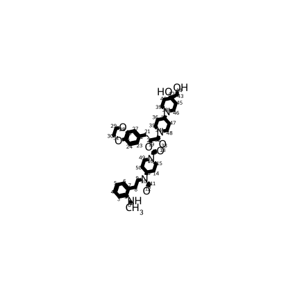 CNc1ccccc1CCN(C=O)C1CCN(C(=O)O[C@H](Cc2ccc3c(c2)OCCO3)C(=O)N2CCC(N3CCC(O)(CO)CC3)CC2)CC1